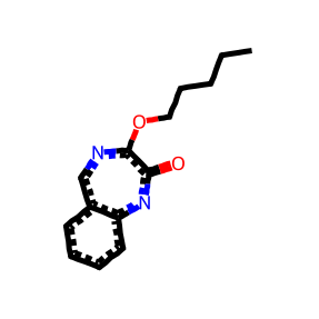 CCCCCOc1ncc2ccccc2nc1=O